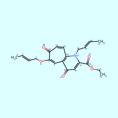 C/C=C/COc1cc2c(=O)cc(C(=O)OCC)n(C/C=C/C)c2ccc1=O